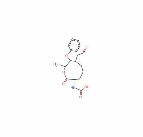 CC1OC(=O)[C@@H](NC(=O)O)CCCC(CC=O)C1Oc1ccccc1